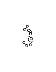 c1ccc(-c2cccc(-c3cccc(-c4ccc5ccc6c(-c7ccc8sc9cc%10c%11ccccc%11c%11ccccc%11c%10cc9c8c7)ccc7ccc4c5c76)c3)c2)cc1